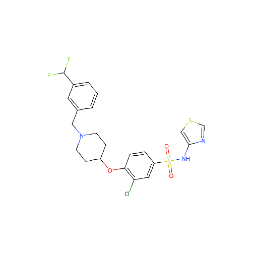 O=S(=O)(Nc1cscn1)c1ccc(OC2CCN(Cc3cccc(C(F)F)c3)CC2)c(Cl)c1